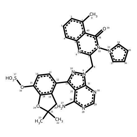 Cc1cccc2nc(Cn3nc(-c4ccc(OS(=O)(=O)O)c5c4CC(C)(C)O5)c4c(N)ncnc43)n(-n3cccc3)c(=O)c12